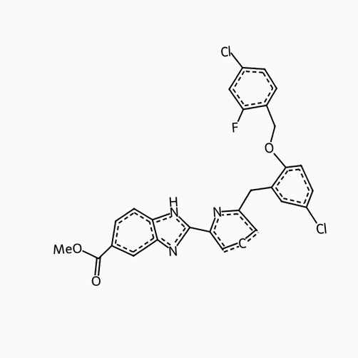 COC(=O)c1ccc2[nH]c(-c3cccc(Cc4cc(Cl)ccc4OCc4ccc(Cl)cc4F)n3)nc2c1